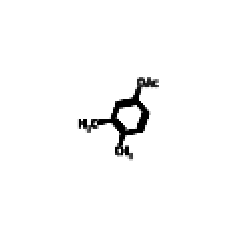 [CH2]C(=O)Oc1ccc(C)c(C)c1